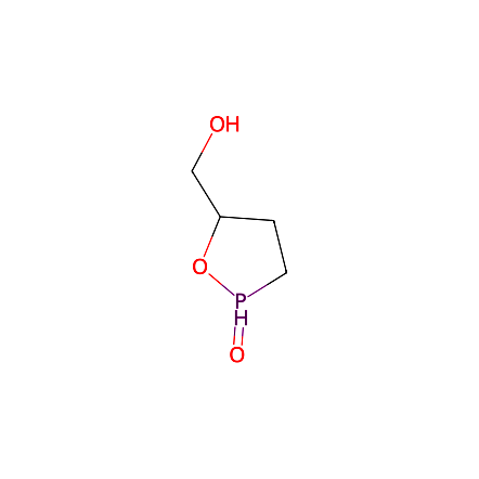 O=[PH]1CCC(CO)O1